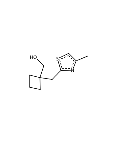 Cc1csc(CC2(CO)CCC2)n1